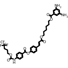 Nc1cc(N)cc(C(=O)OCCCCCCOC(=O)C=Cc2ccc(OC(=O)c3ccc(NC(=O)OCCCC(F)(F)C(F)(F)F)cc3)cc2)c1